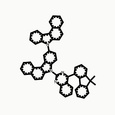 CC1(C)c2ccccc2-c2c(-c3nc(-n4c5ccc(-n6c7ccccc7c7c8ccccc8ccc76)cc5c5c6ccccc6ccc54)nc4ccccc34)cccc21